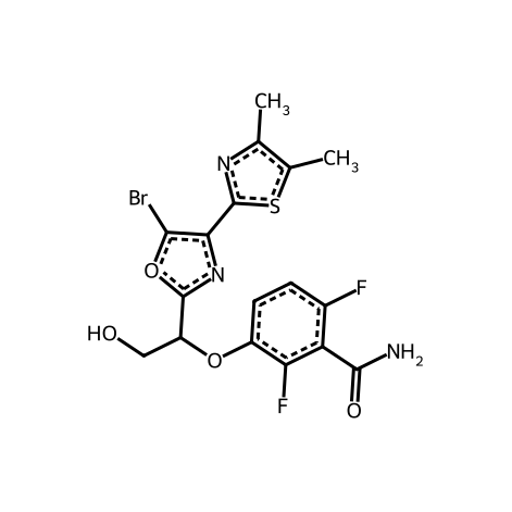 Cc1nc(-c2nc(C(CO)Oc3ccc(F)c(C(N)=O)c3F)oc2Br)sc1C